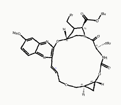 COc1ccc2nc3c(nc2c1)O[C@H]1CN(C(=O)[C@H](C(C)(C)C)NC(=O)O[C@@H]2C[C@H]2CCC/C=C/3)[C@H](C(=O)OC(C)(C)C)C1CC(C)C